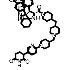 O=C1CCC(c2ccc(N3CCC(CN4CCC(CC5CCN(C(=O)[C@@H]6NC7(CCCCC7)[C@@]7(C(=O)Nc8cc(Cl)ccc87)C6c6cccc(Cl)c6F)CC5)CC4)CC3)nc2)C(=O)N1